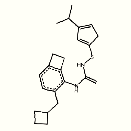 C=C(NSC1=CC(C(C)C)=CC1)Nc1c(CC2CCC2)ccc2c1CC2